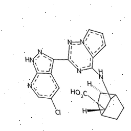 O=C(O)[C@H]1C2CCC(CC2)[C@@H]1Nc1nc(-c2n[nH]c3ncc(Cl)cc23)nn2cccc12